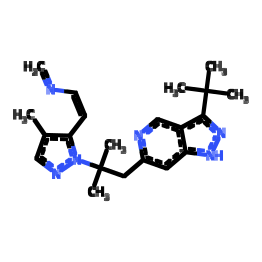 C=N/C=C\c1c(C)cnn1C(C)(C)Cc1cc2[nH]nc(C(C)(C)C)c2cn1